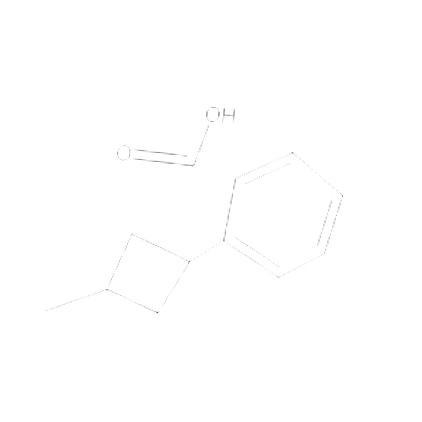 CC1CC(c2ccccc2)C1.O=CO